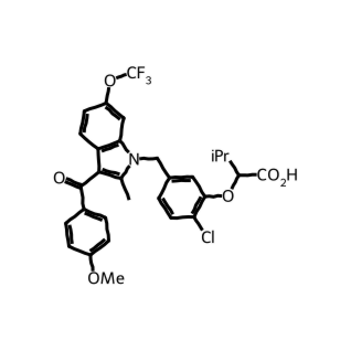 COc1ccc(C(=O)c2c(C)n(Cc3ccc(Cl)c(OC(C(=O)O)C(C)C)c3)c3cc(OC(F)(F)F)ccc23)cc1